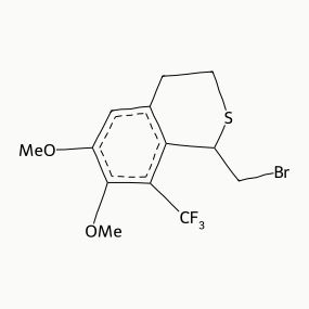 COc1cc2c(c(C(F)(F)F)c1OC)C(CBr)SCC2